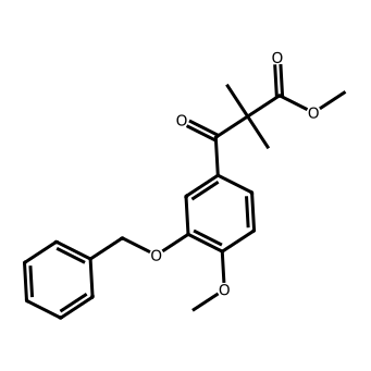 COC(=O)C(C)(C)C(=O)c1ccc(OC)c(OCc2ccccc2)c1